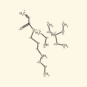 C=CC(=O)OCCC[SiH2]OCC.CCO.CO[SiH](OC)OC